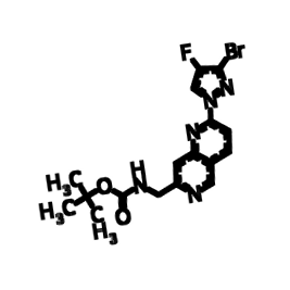 CC(C)(C)OC(=O)NCc1cc2nc(-n3cc(F)c(Br)n3)ccc2cn1